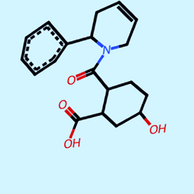 O=C(O)C1CC(O)CCC1C(=O)N1CC=CCC1c1ccccc1